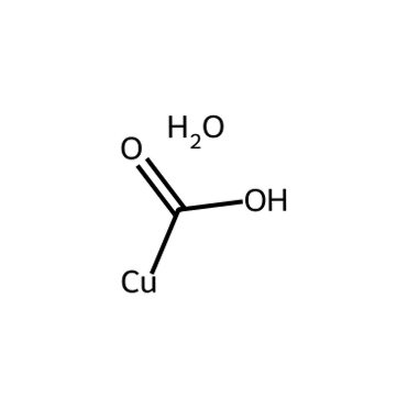 O.O=[C](O)[Cu]